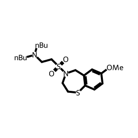 CCCCN(CCCC)CCS(=O)(=O)N1CCSc2ccc(OC)cc2C1